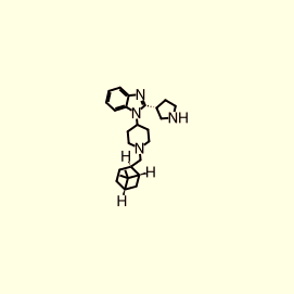 CC1(C)[C@H]2CC[C@@H](CN3CCC(n4c([C@@H]5CCNC5)nc5ccccc54)CC3)[C@@H]1C2